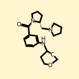 O=C(c1cc[c]c(NC2CCOCC2)c1)N1CCC[C@@H]1CN1CCCC1